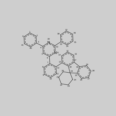 c1ccc(-c2cc(-c3ccccc3-c3cccc4c3C3(CCCCC3)c3ccccc3-4)nc(-c3ccccc3)n2)cc1